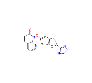 O=C1CCc2cccnc2N1Oc1ccc2c(c1)CCC(c1ncc[nH]1)O2